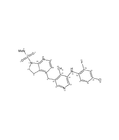 CNS(=O)(=O)N1CCc2c(Cc3cncc(Nc4ccc(Cl)cc4F)c3C)ccnc21